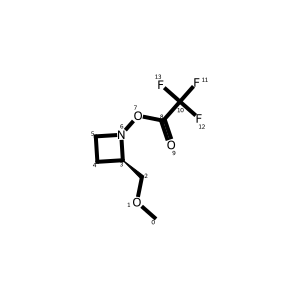 COC[C@H]1CCN1OC(=O)C(F)(F)F